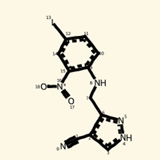 N#Cc1c[nH]nc1CNc1ccc(I)cc1[N+](=O)[O-]